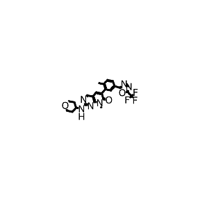 Cc1ccc(-c2nnc(C(F)(F)F)o2)cc1-c1cc2cnc(NC3CCOCC3)nc2n(C)c1=O